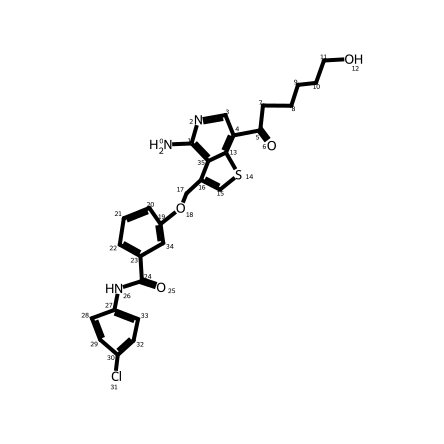 Nc1ncc(C(=O)CCCCCO)c2scc(COc3cccc(C(=O)Nc4ccc(Cl)cc4)c3)c12